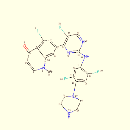 CC(C)n1ccc(=O)c2c(F)cc(-c3nc(Nc4cc(F)c(N5CCNCC5)cc4F)ncc3F)cc21